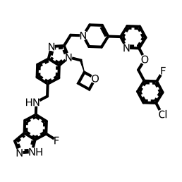 Fc1cc(Cl)ccc1COc1cccc(C2=CCN(Cc3nc4ccc(CNc5cc(F)c6[nH]ncc6c5)cc4n3C[C@@H]3CCO3)CC2)n1